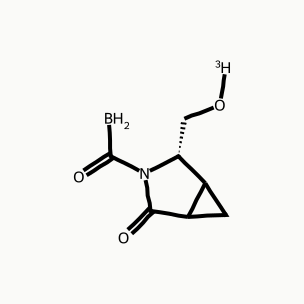 [3H]OC[C@@H]1C2CC2C(=O)N1C(B)=O